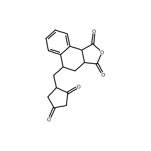 O=C1CC(=O)C(CC2CC3C(=O)OC(=O)C3c3ccccc32)C1